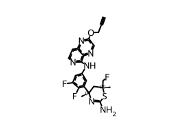 C#CCOc1cnc2c(Nc3cc(F)c(F)c([C@]4(C)C[C@](C)(CF)SC(N)=N4)c3)nccc2n1